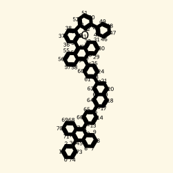 c1ccc(-c2c3ccccc3c(-c3ccc(-c4ccc5ccc(-c6ccc(-c7c8ccccc8c(-c8cccc9c8oc8c(-c%10ccccc%10)cccc89)c8ccccc78)cc6)cc5c4)cc3)c3ccccc23)cc1